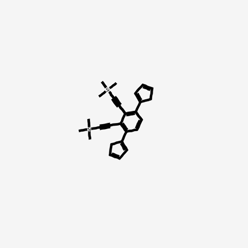 C[Si](C)(C)C#Cc1c(C2=CC=CC2)ccc(C2=CC=CC2)c1C#C[Si](C)(C)C